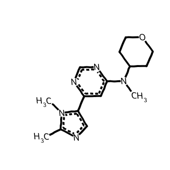 Cc1ncc(-c2cc(N(C)C3CCOCC3)ncn2)n1C